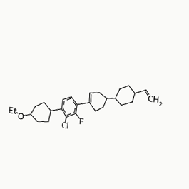 C=CC1CCC(C2CC=C(c3ccc(C4CCC(OCC)CC4)c(Cl)c3F)CC2)CC1